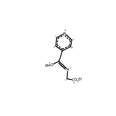 CCOC(=O)CN=C(OC)c1ccncc1